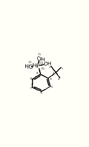 CC(C)(C)c1ccccc1[PH](O)(O)O